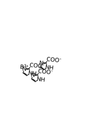 O=C([O-])c1ncc[nH]1.O=C([O-])c1ncc[nH]1.O=C([O-])c1ncc[nH]1.[B+3]